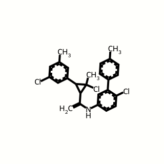 C=C(Nc1ccc(Cl)c(-c2ccc(C)cc2)c1)C1C(c2cc(C)cc(Cl)c2)C1(C)Cl